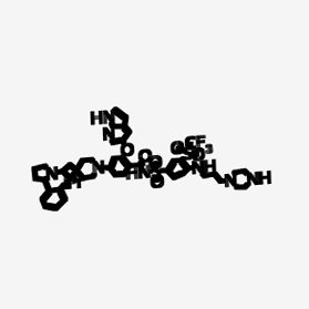 CC(C)c1ccccc1C1CCCN1C1CC2(CCN(c3ccc(C(=O)NS(=O)(=O)c4ccc(NCCCN5CCNCC5)c(S(=O)(=O)C(F)(F)F)c4)c(Oc4cnc5[nH]ccc5c4)c3)CC2)C1